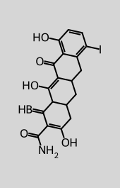 B=C1C(C(N)=O)=C(O)CC2CC3Cc4c(I)ccc(O)c4C(=O)C3=C(O)C12